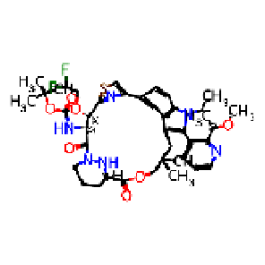 CCn1c(-c2cccnc2[C@H](C)OC)c2c3cc(ccc31)-c1csc(n1)[C@@H](OCC(F)F)[C@H](NC(=O)OC(C)(C)C)C(=O)N1CCC[C@H](N1)C(=O)OCC(C)(C)C2